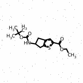 CCOC(=O)c1cc2c(s1)CC(NC(=O)OC(C)(C)C)C2